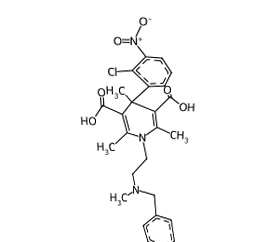 CC1=C(C(=O)O)C(C)(c2cccc([N+](=O)[O-])c2Cl)C(C(=O)O)=C(C)N1CCN(C)Cc1ccccc1